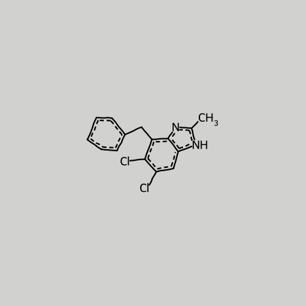 Cc1nc2c(Cc3ccccc3)c(Cl)c(Cl)cc2[nH]1